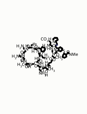 CNC(=O)c1ccccc1Sc1ccc2c(/C=C/c3ccccn3)nn(C(=O)N(CCNC(=O)[C@@H](N)CCC(=O)O)CC(C)OC(=O)CCC(=O)N[C@H](C(=O)N[C@@H](CCN)C(=O)N[C@H]3CCNC(=O)[C@H]([C@@H](C)O)NC(=O)[C@H](CCN)NC(=O)[C@H](CCN)NC(=O)[C@H](CC(C)C)NC(=O)[C@@H](Cc4ccccc4)NC(=O)[C@H](CCN)NC3=O)[C@@H](C)O)c2c1